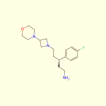 NCC[C@@H](CCN1CC(N2CCOCC2)C1)c1ccc(F)cc1